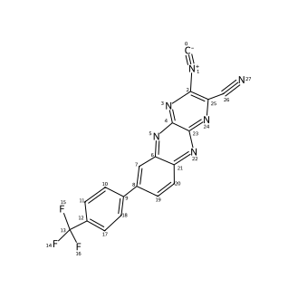 [C-]#[N+]c1nc2nc3cc(-c4ccc(C(F)(F)F)cc4)ccc3nc2nc1C#N